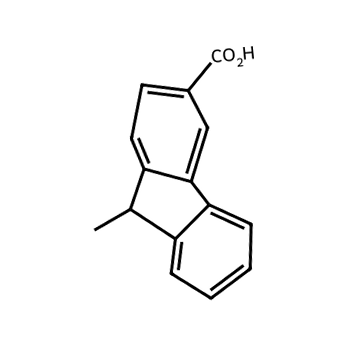 CC1c2ccccc2-c2cc(C(=O)O)ccc21